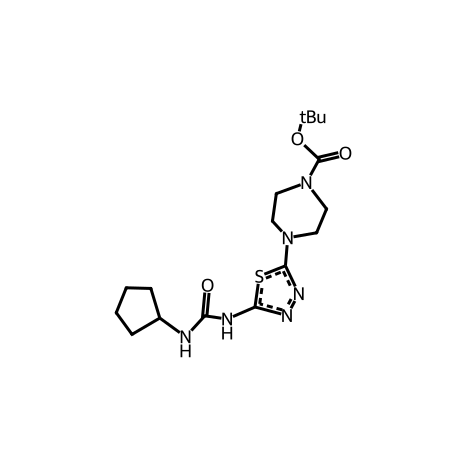 CC(C)(C)OC(=O)N1CCN(c2nnc(NC(=O)NC3CCCC3)s2)CC1